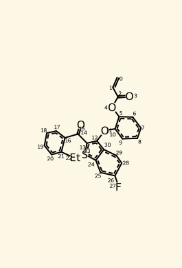 C=CC(=O)Oc1ccccc1Oc1c(C(=O)c2ccccc2CC)sc2cc(F)ccc12